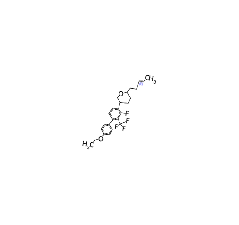 C/C=C/CCC1CCC(c2ccc(-c3ccc(OCC)cc3)c(C(F)(F)F)c2F)CO1